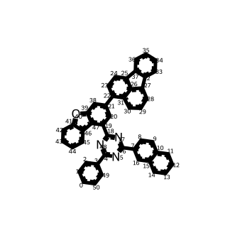 c1ccc(-c2nc(-c3ccc4ccccc4c3)nc(-c3cc(-c4ccc5c6c(cccc46)-c4ccccc4-5)cc4oc5ccccc5c34)n2)cc1